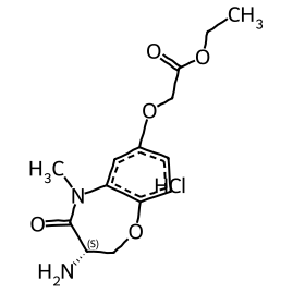 CCOC(=O)COc1ccc2c(c1)N(C)C(=O)[C@@H](N)CO2.Cl